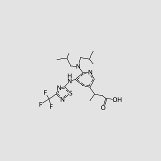 CC(C)CN(CC(C)C)c1ncc(C(C)CC(=O)O)cc1Nc1nc(C(F)(F)F)ns1